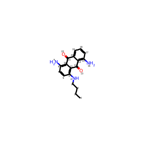 CCCCNc1ccc(N)c2c1C(=O)c1c(N)cccc1C2=O